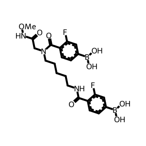 CONC(=O)CN(CCCCCNC(=O)c1ccc(B(O)O)cc1F)C(=O)c1ccc(B(O)O)cc1F